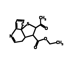 CCOC(=O)C1C(C(C)=O)SC23CC=CC=C2N=CCC13